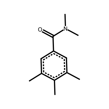 Cc1cc(C(=O)N(C)C)cc(C)c1C